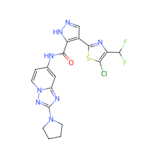 O=C(Nc1ccn2nc(N3CCCC3)nc2c1)c1[nH]ncc1-c1nc(C(F)F)c(Cl)s1